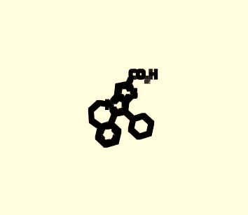 O=C(O)c1cc2c(s1)c(C1CCCCC1)c1n2CCCc2ccccc2-1